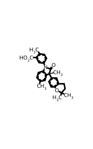 Cc1ccc2c(c1)[C@@](C)(c1ccc3c(c1)CCC(C)(C)O3)C(=O)N2c1ccc(C)c(C(=O)O)c1